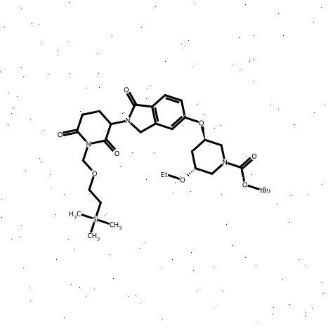 CCO[C@@H]1C[C@@H](Oc2ccc3c(c2)CN(C2CCC(=O)N(COCC[Si](C)(C)C)C2=O)C3=O)CN(C(=O)OC(C)(C)C)C1